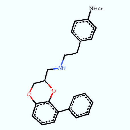 CC(=O)Nc1ccc(CCNCC2COc3cccc(-c4ccccc4)c3O2)cc1